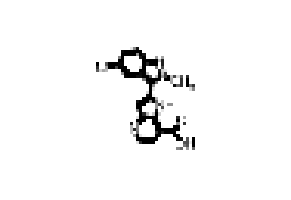 Cn1nc2ccc(Cl)cc2c1-c1cc2nccc(C(=O)O)c2[nH]1